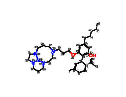 C=C(C)[C@@H]1CCC(C)=CC1c1c(O)cc(CCCCC)cc1OCCCN1CCCN2CCN3CCCN(CC1)N23